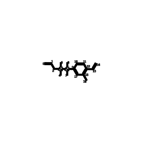 C=CC[Si](C)(C)[Si](C)(C)c1ccc(C=C)c(C)c1